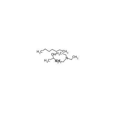 CC(C)O.CCCCCCC.CCN(CC)CC